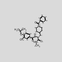 CNC(=O)[C@H](CC1CCN(C(=O)c2ccccc2)CC1)NC(=O)c1ccc(OC(C)C)c(Cl)c1